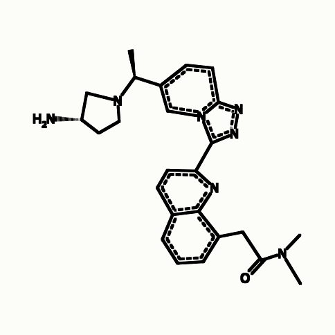 C[C@@H](c1ccc2nnc(-c3ccc4cccc(CC(=O)N(C)C)c4n3)n2c1)N1CC[C@H](N)C1